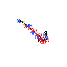 CC[C@@]1(OC(=O)CNC(=O)COCCNC(=O)COCCOCCNC(=O)CCSCCc2ccncc2)C(=O)OCc2c1cc1n(c2=O)Cc2cc3ccccc3nc2-1